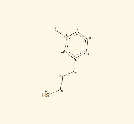 Cc1cccc(CCCS)c1